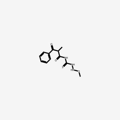 CONNC(=S)NC(=O)C(C)C(=O)c1ccccc1